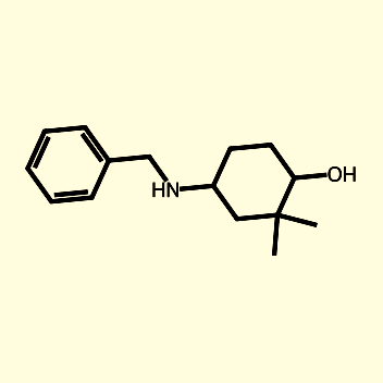 CC1(C)CC(NCc2ccccc2)CCC1O